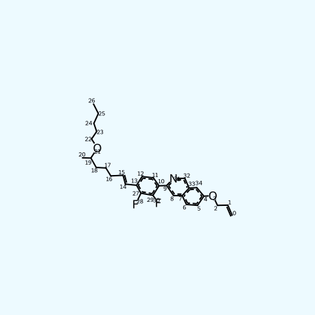 C=CCOc1ccc2cc(-c3ccc(C=CCCCC(C)OCCCCC)c(F)c3F)ncc2c1